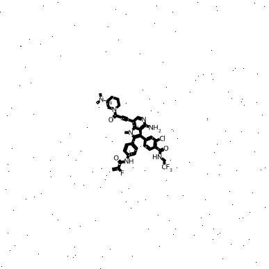 C=C(F)C(=O)Nc1ccc(-c2c(-c3ccc(C(=O)NCC(F)(F)F)c(Cl)c3)c3c(N)ncc(C#CC(=O)N4CCC[C@@H](N(C)C)C4)c3n2C)cc1